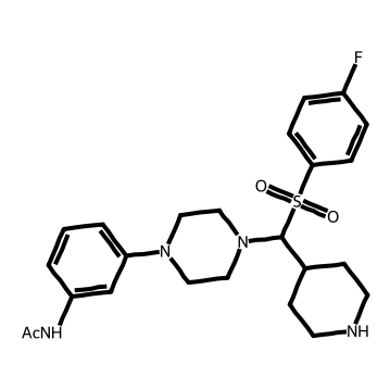 CC(=O)Nc1cccc(N2CCN(C(C3CCNCC3)S(=O)(=O)c3ccc(F)cc3)CC2)c1